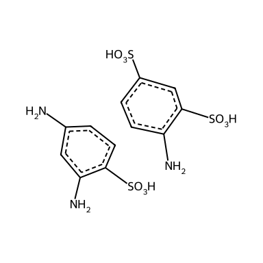 Nc1ccc(S(=O)(=O)O)c(N)c1.Nc1ccc(S(=O)(=O)O)cc1S(=O)(=O)O